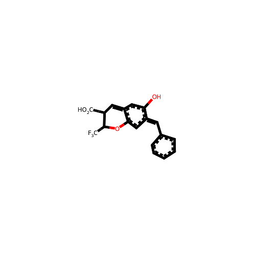 O=C(O)C1C=c2cc(O)c(=Cc3ccccc3)cc2OC1C(F)(F)F